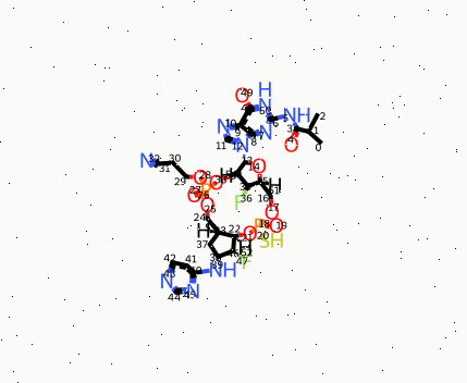 CC(C)C(=O)Nc1nc2c(ncn2[C@@H]2O[C@@H]3COP(=O)(S)O[C@@H]4[C@@H](COP(=O)(OCCC#N)O[C@@H]2C3F)C[C@@H](Nc2ccncn2)[C@@H]4F)c(=O)[nH]1